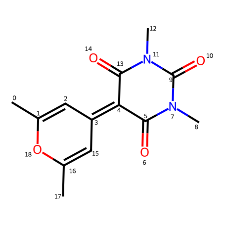 CC1=CC(=C2C(=O)N(C)C(=O)N(C)C2=O)C=C(C)O1